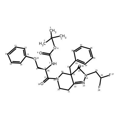 CC(C)(C)OC(=O)N[C@H](COc1ccccc1)C(=O)N1CCC2=NN(CC(F)F)C(=O)C2(Cc2ccccc2)C1